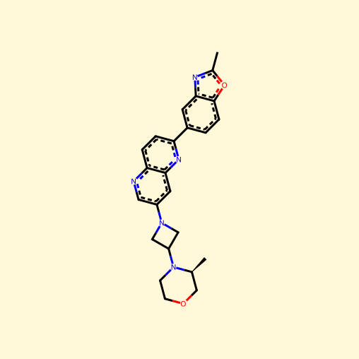 Cc1nc2cc(-c3ccc4ncc(N5CC(N6CCOC[C@@H]6C)C5)cc4n3)ccc2o1